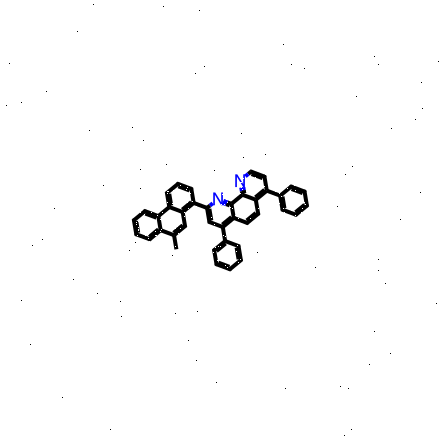 Cc1cc2c(-c3cc(-c4ccccc4)c4ccc5c(-c6ccccc6)ccnc5c4n3)cccc2c2ccccc12